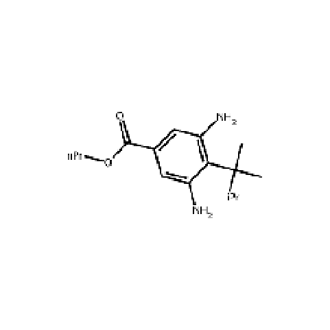 CCCOC(=O)c1cc(N)c(C(C)(C)C(C)C)c(N)c1